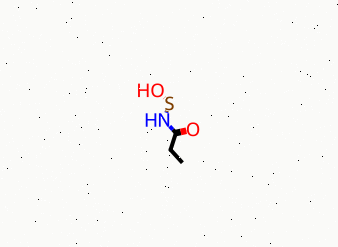 CCC(=O)NSO